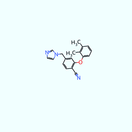 Cc1cccc(Oc2cc(Cn3ccnc3)ccc2C#N)c1C